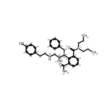 CCCN(CCC)C(=O)c1cccc(C(N)=O)c1[C@H](Cc1ccccc1)[C@@H](O)CNCCc1ccc(Cl)cc1